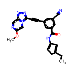 CCC1=CC(NC(=O)c2cc(C#N)cc(C#Cc3nnc4cnc(OC)cn34)c2)=CC1